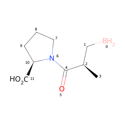 BC[C@@H](C)C(=O)N1CCC[C@@H]1C(=O)O